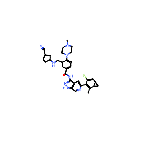 CC1=C(c2cc3c(NC(=O)C4=CC=C(N5CCN(C)CC5)C(CNC5CCC(C#N)C5)C4)n[nH]c3cn2)C(F)=CC2CC12